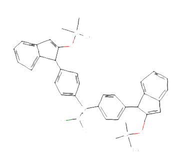 CC(C)(C)[Si](C)(C)OC1=Cc2ccccc2C1c1ccc([SiH](c2ccc(C3C(O[Si](C)(C)C(C)(C)C)=Cc4ccccc43)cc2)[Zr]([Cl])[Cl])cc1